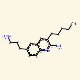 CCCCCc1cc2cc(CCCN)ccc2nc1N